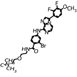 COc1ccc(-c2cnc3c(Nc4ccc(C(=O)NCCOCC[N+](C)(C)C)c(Br)c4)nccn23)c(F)c1F